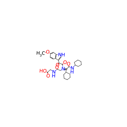 COc1ccc2c(C(=O)C(=O)N(CC(=O)NCC(=O)O)[C@@H](C(=O)NC3CCCCC3)C3CCCCC3)c[nH]c2c1